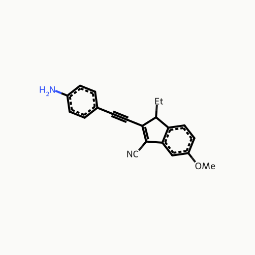 CCC1C(C#Cc2ccc(N)cc2)=C(C#N)c2cc(OC)ccc21